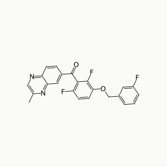 Cc1cnc2ccc(C(=O)c3c(F)ccc(OCc4cccc(F)c4)c3F)cc2n1